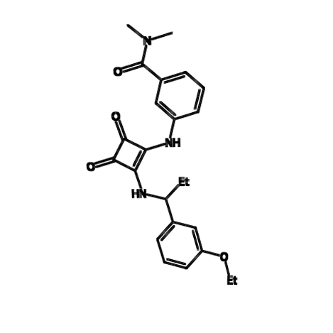 CCOc1cccc(C(CC)Nc2c(Nc3cccc(C(=O)N(C)C)c3)c(=O)c2=O)c1